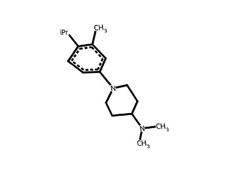 Cc1cc(N2CCC(N(C)C)CC2)ccc1C(C)C